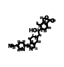 Cc1c([C@@H](O)CN2CCc3c(cnn3-c3ccc(C#N)cn3)C2)ccc2c1COC2=O